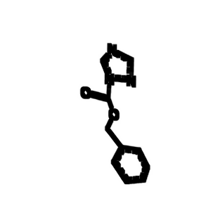 O=C(OCc1ccccc1)n1cncn1